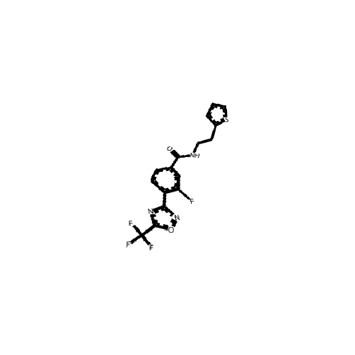 O=C(NCCc1cccs1)c1ccc(-c2noc(C(F)(F)F)n2)c(F)c1